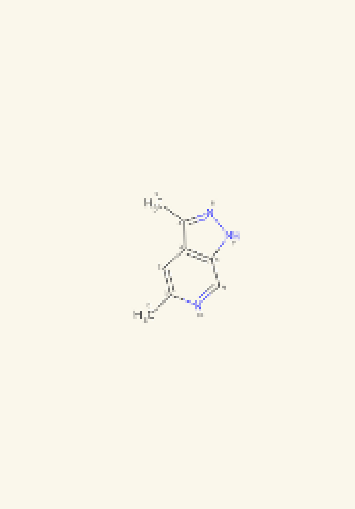 Cc1cc2c(C)n[nH]c2cn1